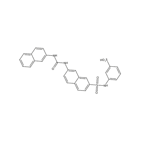 O=C(Nc1ccc2ccccc2c1)Nc1ccc2ccc(S(=O)(=O)Nc3cccc(S(=O)(=O)O)c3)cc2c1